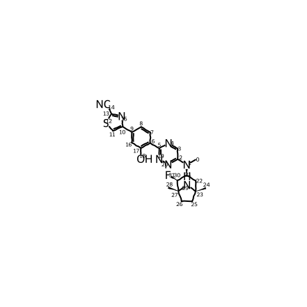 CN(c1cnc(-c2ccc(-c3csc(C#N)n3)cc2O)nn1)[C@H]1C[C@]2(C)CC[C@@](C)(N2)[C@H]1F